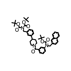 CC(C)(C)OC(=O)N(Cc1cccc(C2CCN(C(=O)c3cccc(N(Cc4ccc5ccccc5c4)C(=O)OC(C)(C)C)c3)CC2)c1)C(=O)OC(C)(C)C